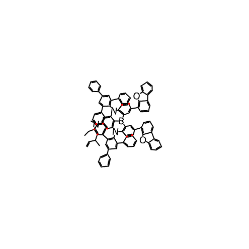 C=CC(C)CC(CC)N(C)c1cc2c3c(c1)N(c1c(-c4ccccc4)cc(-c4ccccc4)cc1-c1ccccc1)c1ccc(-c4cccc5c4oc4ccccc45)cc1B3c1cc(-c3cccc4c3oc3ccccc34)ccc1N2c1c(-c2ccccc2)cc(-c2ccccc2)cc1-c1ccccc1